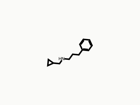 c1ccc(CCCNCC2CC2)cc1